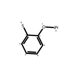 CC(C)Oc1ccccc1[S]